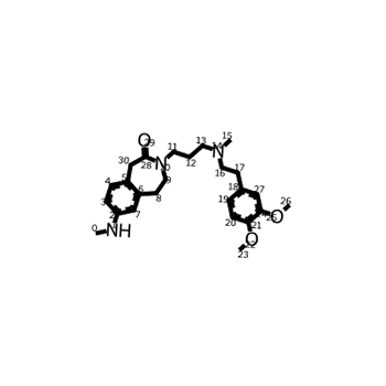 CNc1ccc2c(c1)CCN(CCCN(C)CCc1ccc(OC)c(OC)c1)C(=O)C2